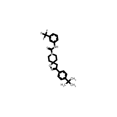 CC(C)(C)c1ccc(C2=NOC3(CCN(C(=S)Nc4cccc(C(F)(F)F)c4)CC3)C2)cc1